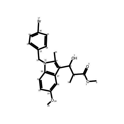 COC(=O)C(C)C(O)c1c(C)n(Cc2ccc(Br)cc2)c2ccc(OC)cc12